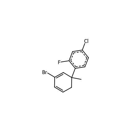 CC1(c2ccc(Cl)cc2F)C=C(Br)C=CC1